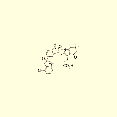 CC1(C)CC(=O)c2c([nH]c(/C=C3\C(=O)Nc4ccc(S(=O)(=O)Cc5c(Cl)cccc5Cl)cc43)c2CCC(=O)O)C1